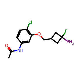 CC(=O)Nc1ccc(Cl)c(OCC2CC(F)(P)C2)c1